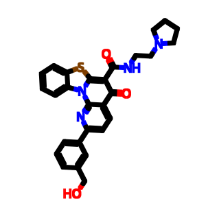 O=C(NCCN1CCCC1)c1c(=O)c2ccc(-c3cccc(CO)c3)nc2n2c1sc1ccccc12